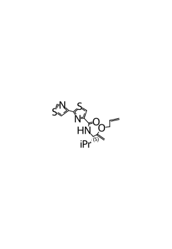 C=CCOC(=C)[C@@H](NC(=O)c1csc(-c2cscn2)n1)C(C)C